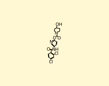 O=C(Nc1ccc(OC(=O)N2CCC(O)CC2)nc1)c1ccc(Cl)cc1Cl